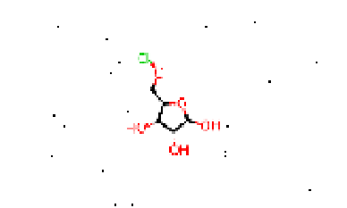 OC1O[C@H](COCl)[C@H](O)[C@H]1O